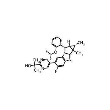 C[C@H]1[C@H]2[C@H](c3ccccc3OC(F)F)n3c(nc4cc(F)c(-c5cnc(C(C)(C)O)nc5)cc43)C21C